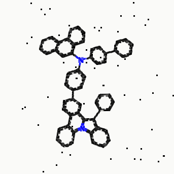 c1ccc(-c2ccc(N(c3ccc(-c4ccc5c6ccccc6n6c7ccccc7c(-c7ccccc7)c6c5c4)cc3)c3cc4ccccc4c4ccccc34)cc2)cc1